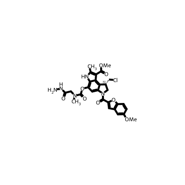 COC(=O)c1c(C)[nH]c2c(OC(=O)N(C)CC(=O)NN)cc3c(c12)[C@H](CCl)CN3C(=O)c1cc2cc(OC)ccc2o1